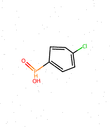 O=[PH](O)c1ccc(Cl)cc1